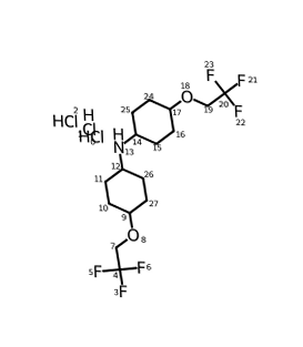 Cl.Cl.Cl.FC(F)(F)COC1CCC(NC2CCC(OCC(F)(F)F)CC2)CC1